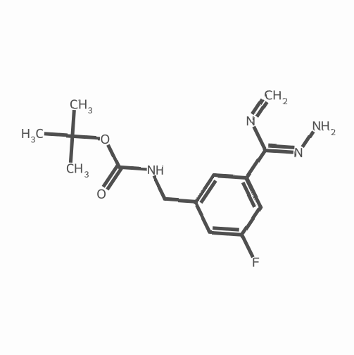 C=N/C(=N\N)c1cc(F)cc(CNC(=O)OC(C)(C)C)c1